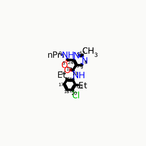 CCCNC(=O)c1nc(C)ncc1C(=O)Nc1c(CC)ccc(Cl)c1CC